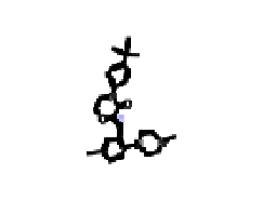 Cc1ccc(N2CCN(C)CC2)c(/C=C2\OCCN(c3ccc(C(C)(C)C)cc3)C2=O)c1